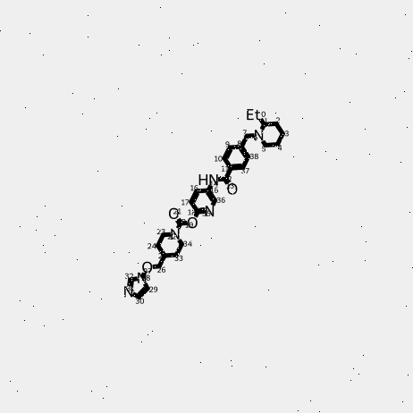 CCC1CCCCN1Cc1ccc(C(=O)Nc2ccc(OC(=O)N3CCC(COn4ccnc4)CC3)nc2)cc1